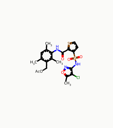 CC(=O)OCc1c(C)cc(C)c(NC(=O)c2sccc2S(=O)(=O)Nc2noc(C)c2Cl)c1C